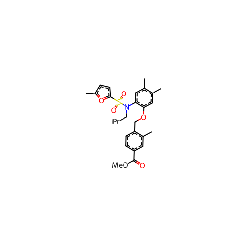 COC(=O)c1ccc(COc2cc(C)c(C)cc2N(CC(C)C)S(=O)(=O)c2ccc(C)o2)c(C)c1